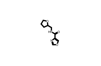 O=C(NCC1CCCO1)c1co[c]n1